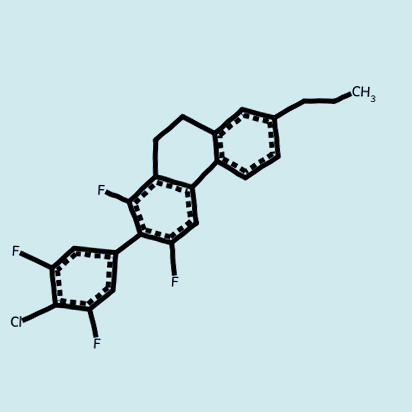 CCCc1ccc2c(c1)CCc1c-2cc(F)c(-c2cc(F)c(Cl)c(F)c2)c1F